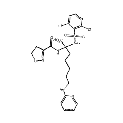 O=C(NC(CCCCCNc1ccccn1)(NS(=O)(=O)c1c(Cl)cccc1Cl)C(=O)O)C1=NOCC1